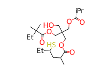 CCC(S)CC(C)C(=O)OCC(CO)(COC(=O)C(C)C)COC(=O)C(C)(C)CC